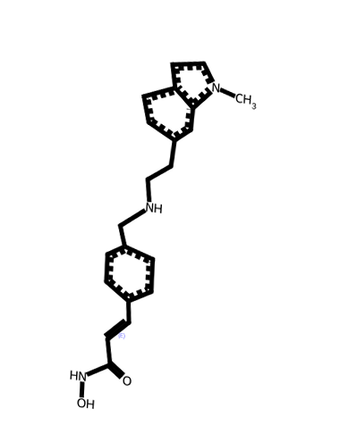 Cn1ccc2ccc(CCNCc3ccc(/C=C/C(=O)NO)cc3)cc21